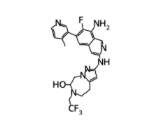 Cc1ccncc1-c1cc2cc(Nc3cc4n(n3)CC(O)N(CC(F)(F)F)CC4)ncc2c(N)c1F